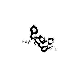 O=C(O)[C@H](Cc1ccccc1)N(Cc1ccc(N2CCOCC2)nc1)C(=O)C=Cc1ccc(C(F)(F)F)nc1